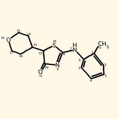 Cc1ccccc1NC1=NC(=O)C(C2CCOCC2)S1